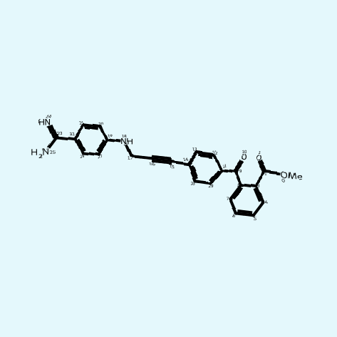 COC(=O)c1ccccc1C(=O)c1ccc(C#CCNc2ccc(C(=N)N)cc2)cc1